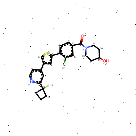 O=C(c1ccc(-c2cc(-c3ccnc(C4(F)CCC4)c3)cs2)c(Cl)c1)N1CCC(O)CC1